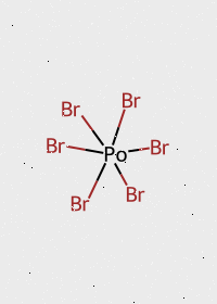 [Br][Po]([Br])([Br])([Br])([Br])[Br]